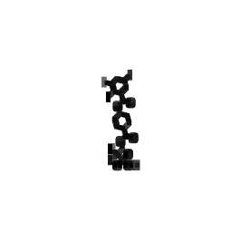 O=C(OC1C=CC(C(=O)OCC(F)(F)S(=O)(=O)O)CC1)c1cc(I)cc(I)c1I